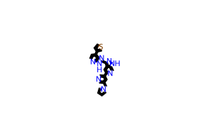 c1cc(-c2ccsc2)c2nc(-c3n[nH]c4cnc(-c5cncc(CN6CCCC6)c5)cc34)[nH]c2n1